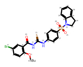 CCCCOc1ccc(Br)cc1C(=O)NC(=S)Nc1ccc(S(=O)(=O)N2CCc3ccccc32)cc1